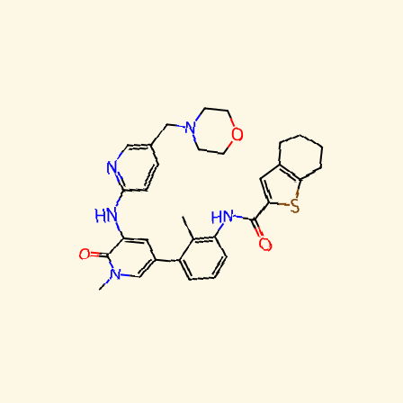 Cc1c(NC(=O)c2cc3c(s2)CCCC3)cccc1-c1cc(Nc2ccc(CN3CCOCC3)cn2)c(=O)n(C)c1